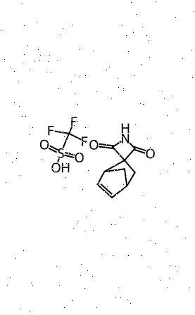 O=C1NC(=O)C12CC1C=CC2C1.O=S(=O)(O)C(F)(F)F